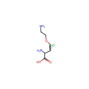 Cl.NCCO/C=C\C(N)C(=O)O